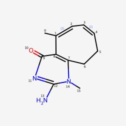 C/C1=C/C=C\CCc2c1c(=O)nc(N)n2C